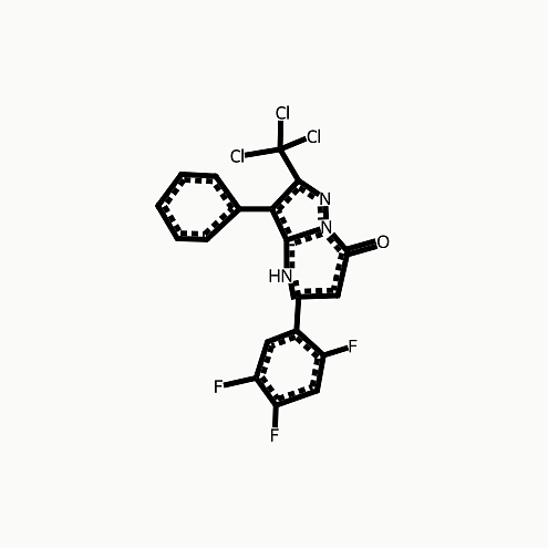 O=c1cc(-c2cc(F)c(F)cc2F)[nH]c2c(-c3ccccc3)c(C(Cl)(Cl)Cl)nn12